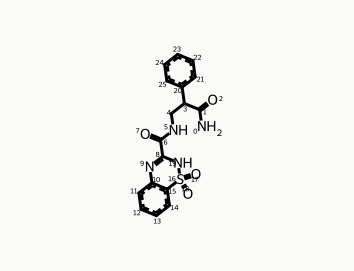 NC(=O)C(CNC(=O)C1=Nc2ccccc2S(=O)(=O)N1)c1ccccc1